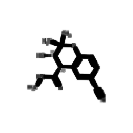 CNC(=S)[C@@H]1c2cc(C#N)ccc2OC(C)(C)[C@H]1O